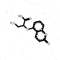 CCC(Oc1cccc2oc(=O)ccc12)C(=O)O